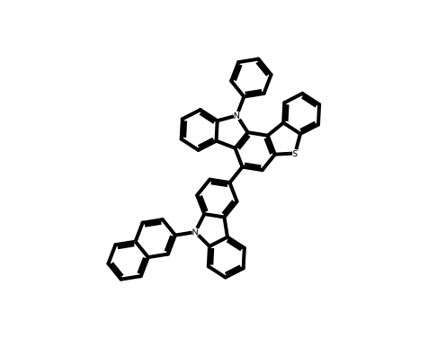 c1ccc(-n2c3ccccc3c3c(-c4ccc5c(c4)c4ccccc4n5-c4ccc5ccccc5c4)cc4sc5ccccc5c4c32)cc1